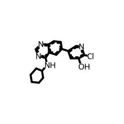 Oc1cc(-c2ccc3ncnc(NC4CCCCC4)c3c2)cnc1Cl